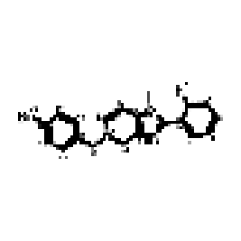 Fc1ccccc1-c1nc2c([nH]1)C=CN(Cc1ccc(Br)cc1)C2